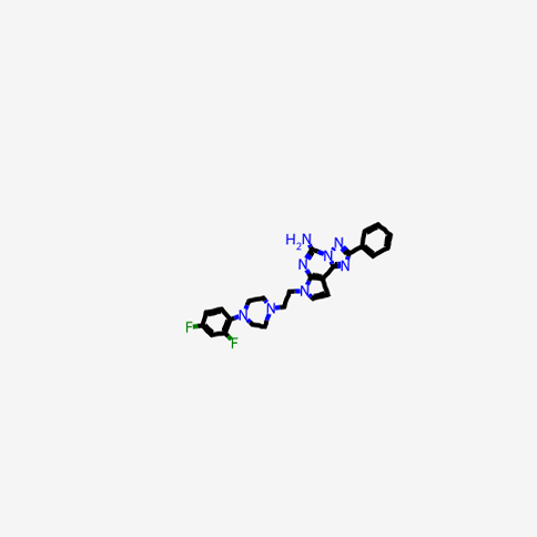 Nc1nc2c(ccn2CCN2CCN(c3ccc(F)cc3F)CC2)c2nc(-c3ccccc3)nn12